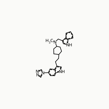 CN(Cc1c[nH]c2ccccc12)C1CCC(CCc2c[nH]c3ccc(-n4cnnc4)cc23)CC1